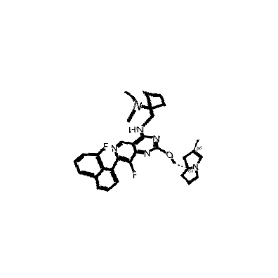 C[C@H]1CN2CCC[C@@]2(COc2nc(NCC3(N(C)C)CCC3)c3cnc(-c4cccc5cccc(F)c45)c(F)c3n2)C1